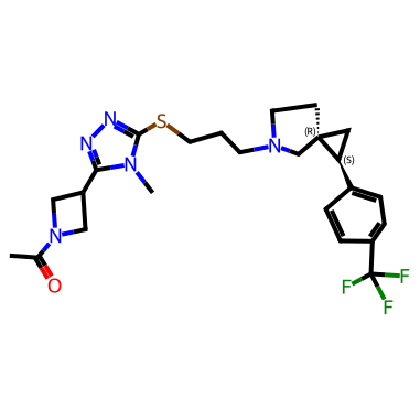 CC(=O)N1CC(c2nnc(SCCCN3CC[C@@]4(C[C@H]4c4ccc(C(F)(F)F)cc4)C3)n2C)C1